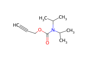 C#CCOC(=O)N(C(C)C)C(C)C